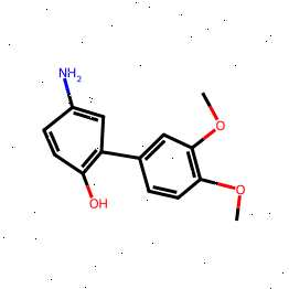 COc1ccc(-c2cc(N)ccc2O)cc1OC